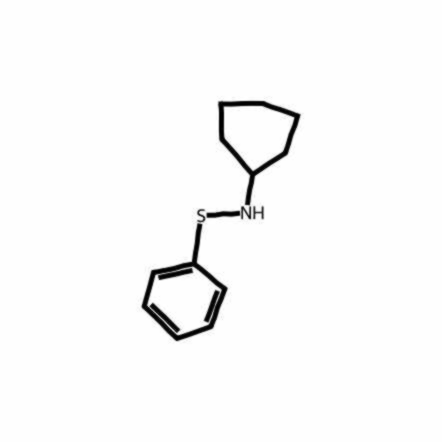 c1ccc(SNC2CCCCC2)cc1